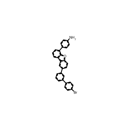 Nc1ccc(-c2cccc3c2oc2ccc(-c4cccc(-c5ccc(Br)cc5)c4)cc23)cc1